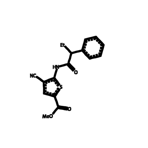 CCC(C(=O)Nc1sc(C(=O)OC)cc1C#N)c1ccccc1